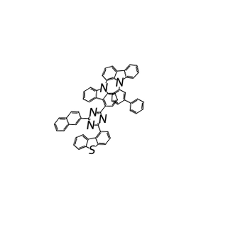 c1ccc(-c2cccc(-n3c4ccccc4c4cccc(-n5c6ccccc6c6c(-c7nc(-c8ccc9ccccc9c8)nc(-c8cccc9sc%10ccccc%10c89)n7)cccc65)c43)c2)cc1